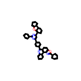 c1ccc(-c2nc(-c3ccc(-c4nc5ccccc5c5c4ccc4oc(-c6ccccc6)nc45)cc3)cc(-c3cccc4c3oc3ccccc34)n2)cc1